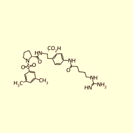 Cc1cc(C)cc(S(=O)(=O)N2CCC[C@H]2C(=O)N[C@@H](Cc2ccc(NC(=O)CCCCNC(=N)N)cc2)C(=O)O)c1